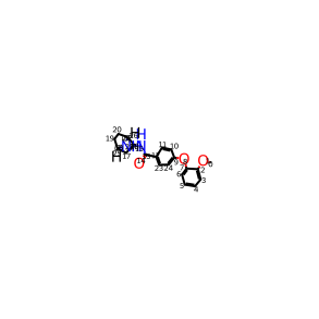 COc1ccccc1Oc1ccc(C(=O)N[C@@H]2C[C@H]3CC[C@@H]2N3)cc1